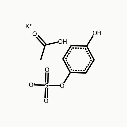 CC(=O)O.O=S(=O)([O-])Oc1ccc(O)cc1.[K+]